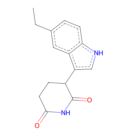 CCc1ccc2[nH]cc(C3CCC(=O)NC3=O)c2c1